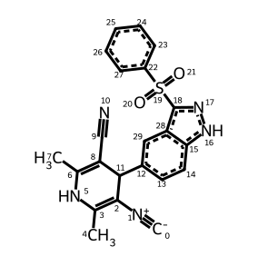 [C-]#[N+]C1=C(C)NC(C)=C(C#N)C1c1ccc2[nH]nc(S(=O)(=O)c3ccccc3)c2c1